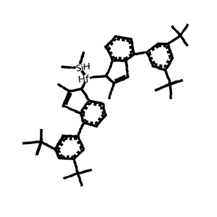 CC1=Cc2c(-c3cc(C(C)(C)C)cc(C(C)(C)C)c3)cccc2[CH]1[Hf]([CH]1C(C)=Cc2c(-c3cc(C(C)(C)C)cc(C(C)(C)C)c3)cccc21)[SiH](C)C